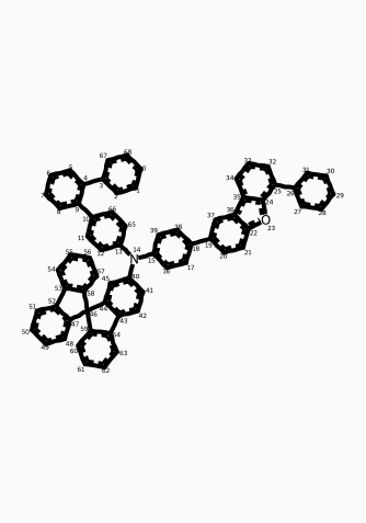 c1ccc(-c2ccccc2-c2ccc(N(c3ccc(-c4ccc5oc6c(-c7ccccc7)cccc6c5c4)cc3)c3ccc4c(c3)C3(c5ccccc5-c5ccccc53)c3ccccc3-4)cc2)cc1